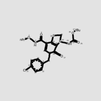 CCCONC(=O)C1=CC(Cc2ccc(Cl)cc2)C(=O)C2=C1SCN2NC(=O)OC(C)(C)C